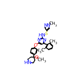 COC1(c2ccc(Oc3cc(-c4c(C)cccc4C)nc(NSc4cnn(C)c4)n3)cc2)CCNCC1